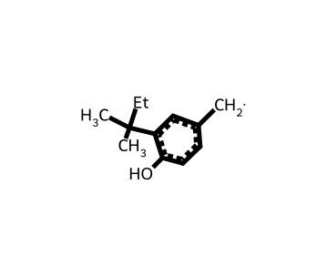 [CH2]c1ccc(O)c(C(C)(C)CC)c1